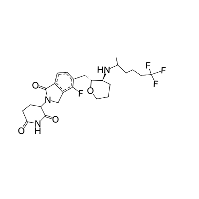 CC(CCCC(F)(F)F)N[C@H]1CCCO[C@@H]1Cc1ccc2c(c1F)CN(C1CCC(=O)NC1=O)C2=O